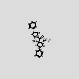 CC(C)(C)[C@]1(C(=O)N2CC[C@H](c3ccccc3)C2)C[C@H](c2ccccc2)CN1C(=O)O